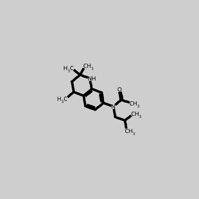 CC(=O)N(CC(C)C)c1ccc2c(c1)NC(C)(C)CC2C